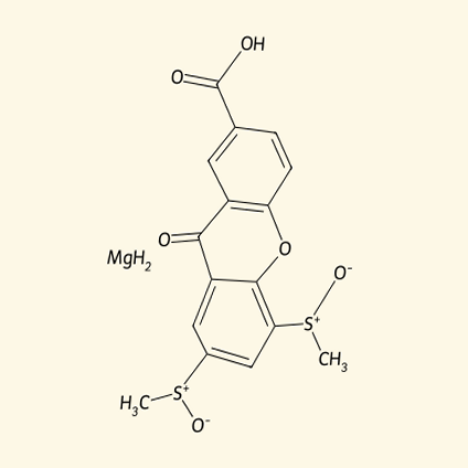 C[S+]([O-])c1cc([S+](C)[O-])c2oc3ccc(C(=O)O)cc3c(=O)c2c1.[MgH2]